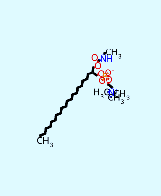 CCCCCCCCCCCCCCCCCCCCC(COC(=O)NCC)COP(=O)([O-])OCC[N+](C)(C)C